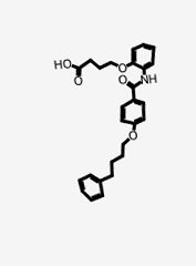 O=C(O)CCCOc1ccccc1NC(=O)c1ccc(OCCCCc2ccccc2)cc1